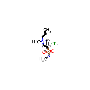 C=CC[N+](C)(C)CCS(=O)(=O)NC.[Cl-]